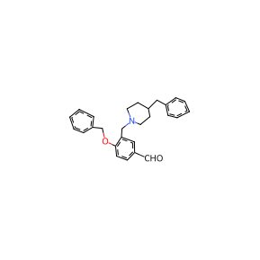 O=Cc1ccc(OCc2ccccc2)c(CN2CCC(Cc3ccccc3)CC2)c1